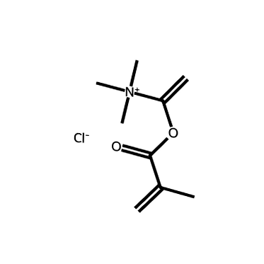 C=C(C)C(=O)OC(=C)[N+](C)(C)C.[Cl-]